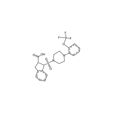 O=C(O)C1Cc2ccccc2C1S(=O)(=O)N1CCN(c2ccccc2OC(F)(F)F)CC1